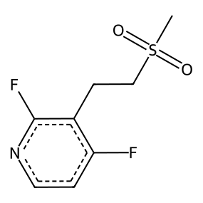 CS(=O)(=O)CCc1c(F)ccnc1F